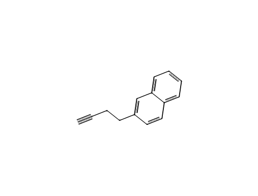 C#CCCc1ccc2ccccc2c1